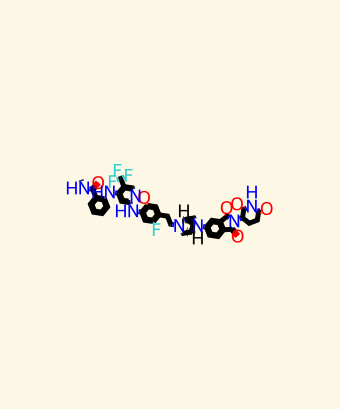 CNC(=O)c1ccccc1Nc1cc(Nc2cc(F)c(CCN3C[C@@H]4C[C@H]3CN4c3ccc4c(c3)C(=O)N(C3CCC(=O)NC3=O)C4=O)cc2OC)ncc1C(F)(F)F